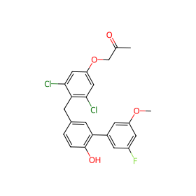 COc1cc(F)cc(-c2cc(Cc3c(Cl)cc(OCC(C)=O)cc3Cl)ccc2O)c1